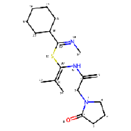 C=C(CN1CCCC1=O)NC(S/C(=N\C)C1CCCCC1)=C(C)C